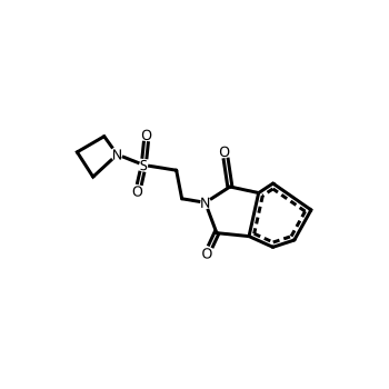 O=C1c2ccccc2C(=O)N1CCS(=O)(=O)N1CCC1